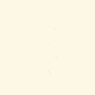 N=C(N)SCc1ccccc1CC(=O)NCC1CC1